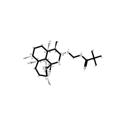 C[C@H]1[C@H](SCOC(=O)C(C)(C)C)O[C@@H]2O[C@]3(C)CC[C@H]4[C@H](C)CC[C@@H]1[C@@]24OO3